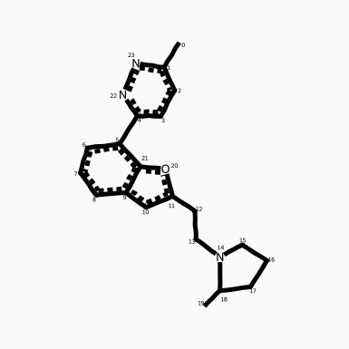 Cc1ccc(-c2cccc3cc(CCN4CCCC4C)oc23)nn1